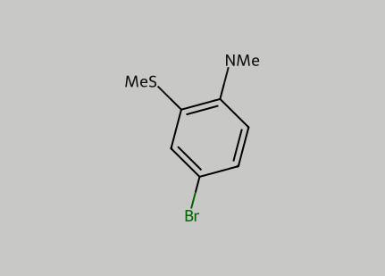 CNc1ccc(Br)cc1SC